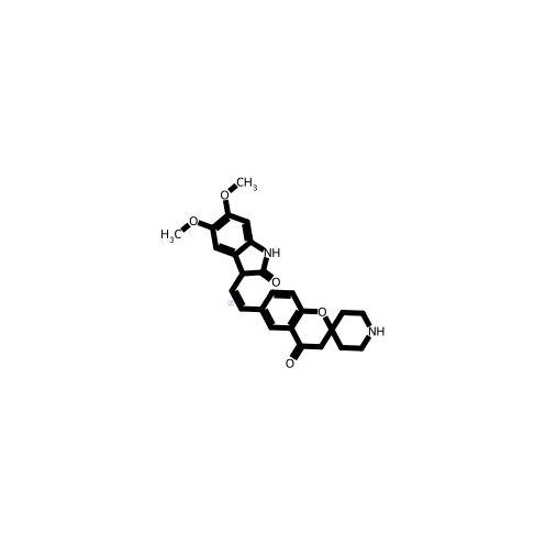 COc1cc2c(cc1OC)C(/C=C\c1ccc3c(c1)C(=O)CC1(CCNCC1)O3)C(=O)N2